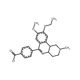 CCOc1cc2c(cc1OC)C(c1ccc(C(=O)Cl)cc1)=NC1CCN(C)CC21